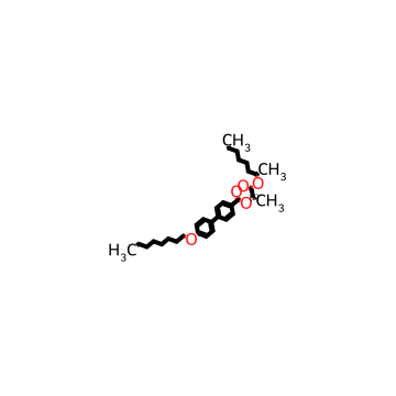 CCCCCCCCOc1ccc(-c2ccc(C(=O)O[C@@H](C)C(=O)OC(C)CCCCCC)cc2)cc1